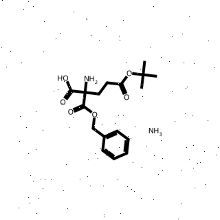 CC(C)(C)OC(=O)CCC(N)(C(=O)O)C(=O)OCc1ccccc1.N